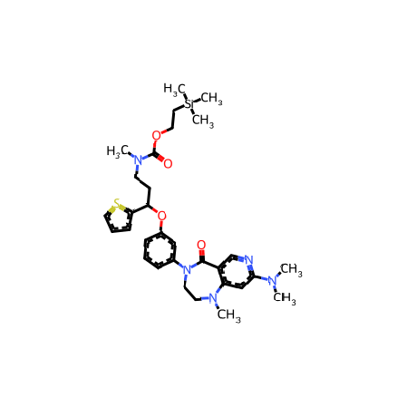 CN(CCC(Oc1cccc(N2CCN(C)c3cc(N(C)C)ncc3C2=O)c1)c1cccs1)C(=O)OCC[Si](C)(C)C